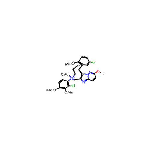 CCOc1ccc2nc(C[N+](C=O)(CCC(C)C)c3ccc(OC)c(OC)c3Cl)c(Cc3cc(Br)ccc3OC)n2n1